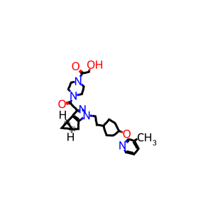 Cc1cccnc1OC1CCC(CCn2nc(C(=O)N3CCN(C(=O)CO)CC3)c3c2C[C@H]2C[C@@H]32)CC1